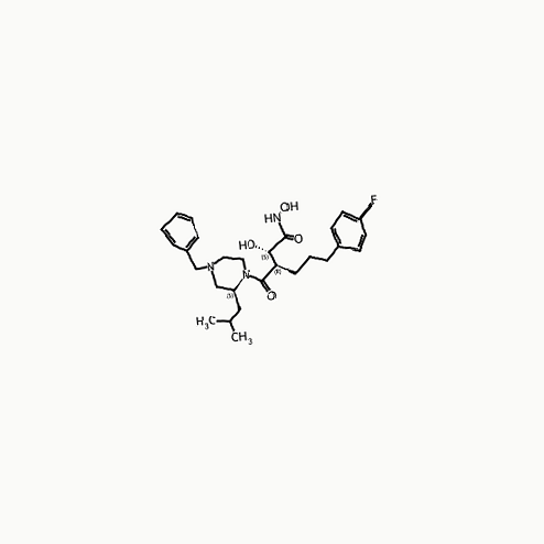 CC(C)C[C@H]1CN(Cc2ccccc2)CCN1C(=O)[C@H](CCCc1ccc(F)cc1)[C@H](O)C(=O)NO